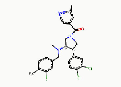 Cc1cc(C(=O)N2C[C@H](c3ccc(Cl)c(Cl)c3)[C@@H](N(C)Cc3ccc(C(F)(F)F)c(F)c3)C2)ccn1